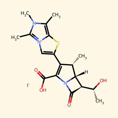 Cc1c2sc(C3=C(C(=O)O)N4C(=O)[C@H]([C@@H](C)O)[C@H]4[C@H]3C)c[n+]2c(C)n1C.[I-]